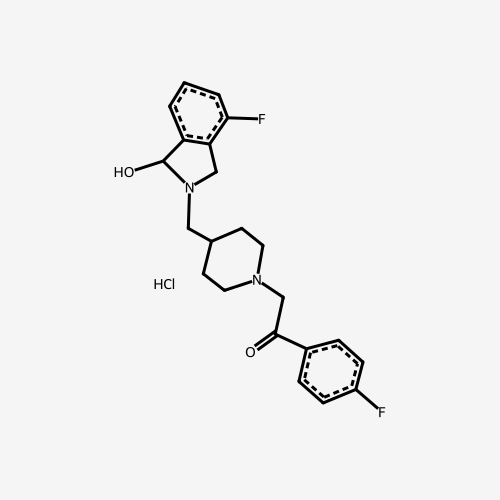 Cl.O=C(CN1CCC(CN2Cc3c(F)cccc3C2O)CC1)c1ccc(F)cc1